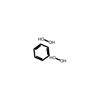 OO.OO.c1ccccc1